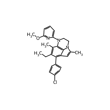 CCc1c(C)c2c3c(cc(C)n3CCN2c2cccc(OC)n2)c1-c1ccc(Cl)cc1